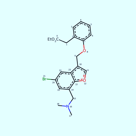 CCOC(=O)Cc1ccccc1OCc1coc2c(CN(C)C)cc(Br)cc12